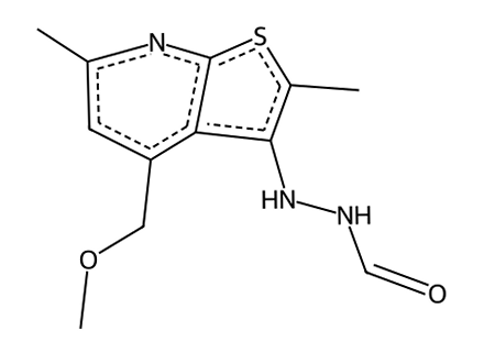 COCc1cc(C)nc2sc(C)c(NNC=O)c12